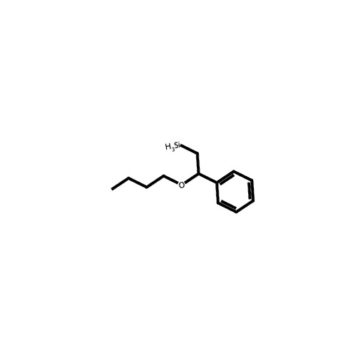 CCCCOC(C[SiH3])c1ccccc1